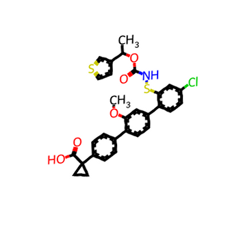 COc1cc(-c2ccc(Cl)cc2SNC(=O)OC(C)c2ccsc2)ccc1-c1ccc(C2(C(=O)O)CC2)cc1